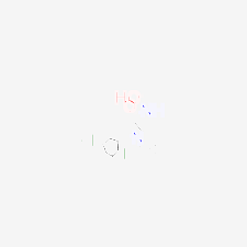 CC1=C(C(=O)N[C@@H]2CCCC[C@H]2O)CC(c2cc(Cl)ccc2F)N1C[C@H]1CC1(C)C